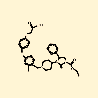 CCOC(=O)N1CC(c2ccccc2)N(C2CCN(Cc3ccc(Oc4ccc(OCC(=O)O)cc4)nc3C)CC2)C1=O